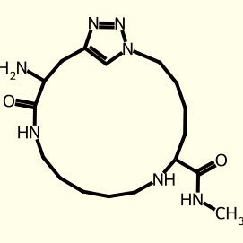 CNC(=O)C1CCCCn2cc(nn2)CC(N)C(=O)NCCCCCN1